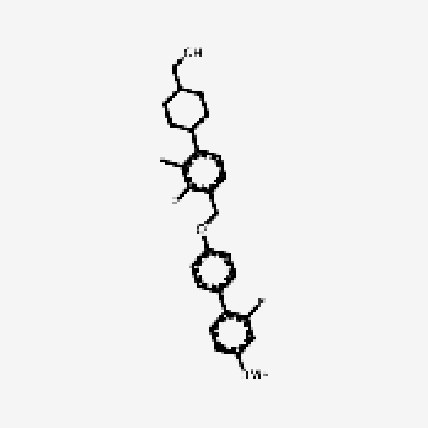 COc1ccc(-c2ccc(OCc3ccc(C4CCC(CO)CC4)c(F)c3F)cc2)c(F)c1